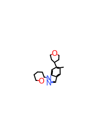 Cc1cc2cnn(C3CCCCO3)c2cc1C1CCOCC1